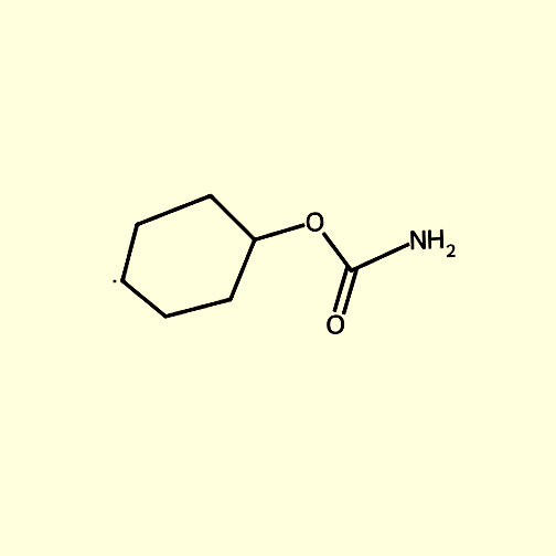 NC(=O)OC1CC[CH]CC1